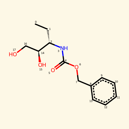 CC[C@H](NC(=O)OCc1ccccc1)[C@@H](O)CO